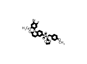 COc1ccc(CN(c2ncco2)S(=O)(=O)c2ccc3c(ccc(=O)n3-c3cc(F)c(Br)cc3OC)c2)cc1